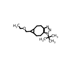 CCOCC1C2CCc3nnn(C(C)(C)C)c3CCC21